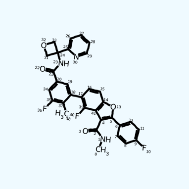 CNC(=O)c1c(-c2ccc(F)cc2)oc2ccc(-c3cc(C(=O)NC4(c5ccccn5)COC4)cc(F)c3C)c(F)c12